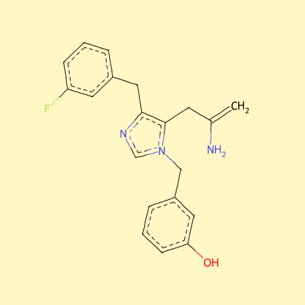 C=C(N)Cc1c(Cc2cccc(F)c2)ncn1Cc1cccc(O)c1